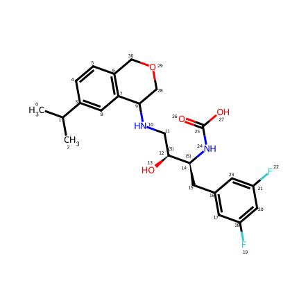 CC(C)c1ccc2c(c1)C(NC[C@H](O)[C@H](Cc1cc(F)cc(F)c1)NC(=O)O)COC2